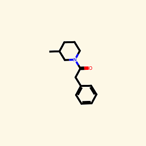 CC1CCCN(C(=O)Cc2ccccc2)C1